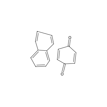 O=C1C=CC(=O)C=C1.c1ccc2ccccc2c1